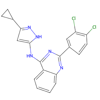 Clc1ccc(-c2nc(Nc3cc(C4CC4)n[nH]3)c3ccccc3n2)cc1Cl